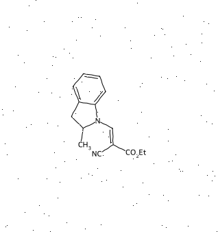 CCOC(=O)C(C#N)=CN1c2ccccc2CC1C